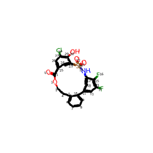 O=C1OCCc2ccccc2-c2cc(F)c(F)c(c2)NS(=O)(=O)c2cc1cc(Cl)c2O